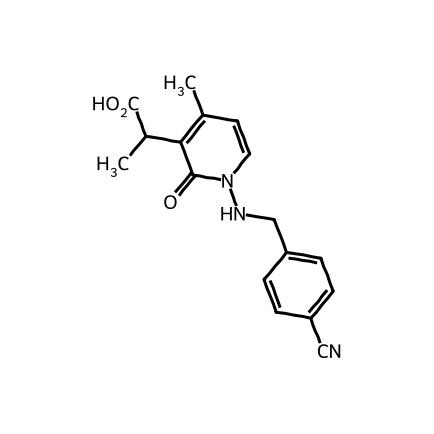 Cc1ccn(NCc2ccc(C#N)cc2)c(=O)c1C(C)C(=O)O